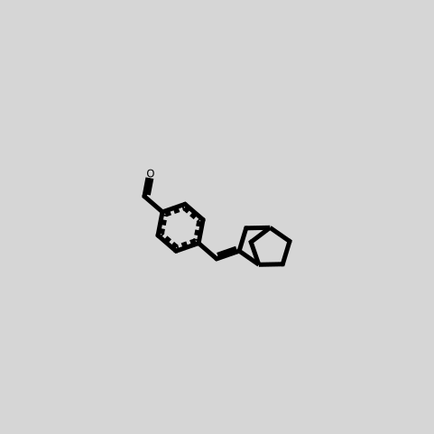 O=Cc1ccc(C=C2CC3CCC2C3)cc1